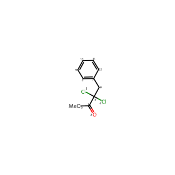 COC(=O)C(Cl)(Cl)Cc1ccccc1